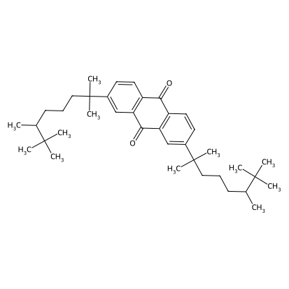 CC(CCCC(C)(C)c1ccc2c(c1)C(=O)c1cc(C(C)(C)CCCC(C)C(C)(C)C)ccc1C2=O)C(C)(C)C